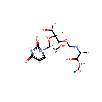 CC[C@H](O)[C@@](F)(COCN[C@@H](C)C(=O)OC(C)C)O[C@H](CO)n1ccc(=O)[nH]c1=O